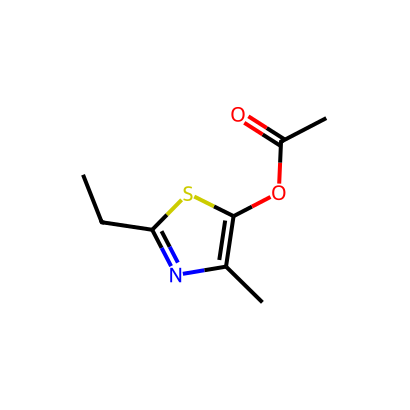 CCc1nc(C)c(OC(C)=O)s1